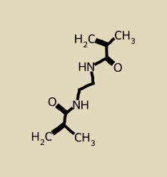 C=C(C)C(=O)NCCNC(=O)C(=C)C